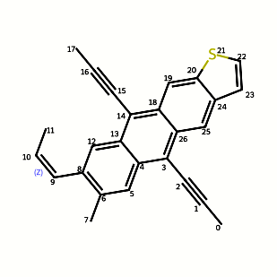 CC#Cc1c2cc(C)c(/C=C\C)cc2c(C#CC)c2cc3sccc3cc12